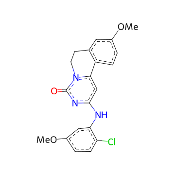 COc1ccc2c(c1)CCn1c-2cc(Nc2cc(OC)ccc2Cl)nc1=O